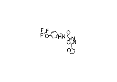 O=C(NCc1ccc(OC(F)(F)F)cc1)c1nnc(-c2ccco2)o1